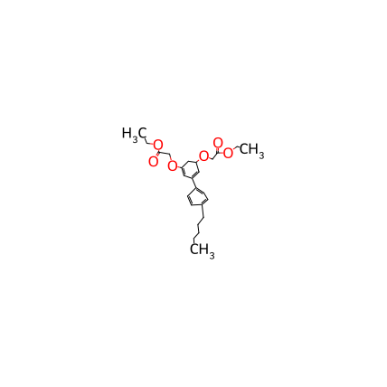 CCCCCc1ccc(C2=CC(OCC(=O)OCC)CC(OCC(=O)OCC)=C2)cc1